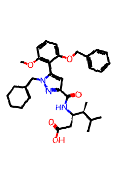 COc1cccc(OCc2ccccc2)c1-c1cc(C(=O)N[C@H](CC(=O)O)[C@@H](C)C(C)C)nn1CC1CCCCC1